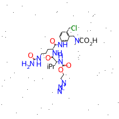 CC(C)C(NC(=O)OCCN=[N+]=[N-])C(=O)NC(CCCNC(N)=O)C(=O)Nc1ccc(CCl)c(CN(C)C(=O)O)c1